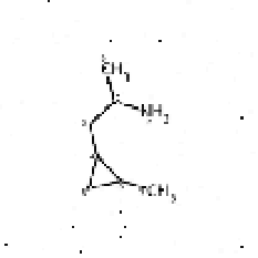 CC(N)CC1CC1C